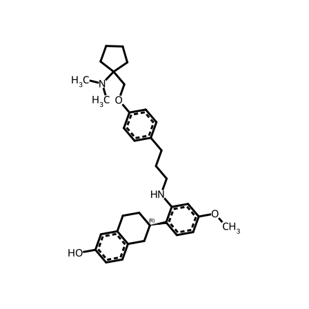 COc1ccc([C@@H]2CCc3cc(O)ccc3C2)c(NCCCc2ccc(OCC3(N(C)C)CCCC3)cc2)c1